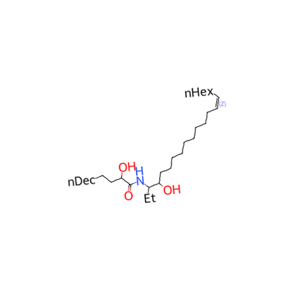 CCCCCC/C=C\CCCCCCCCCC(O)C(CC)NC(=O)C(O)CCCCCCCCCCCC